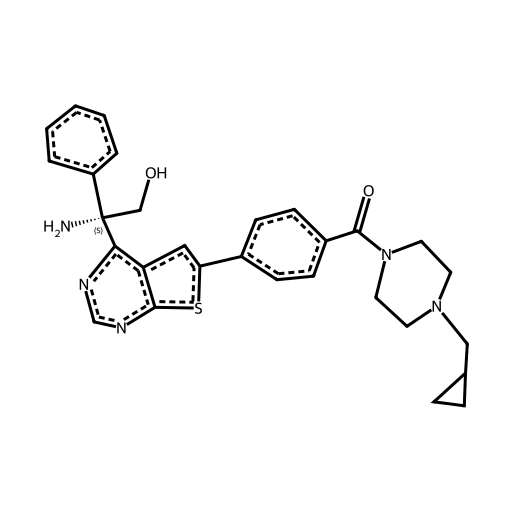 N[C@@](CO)(c1ccccc1)c1ncnc2sc(-c3ccc(C(=O)N4CCN(CC5CC5)CC4)cc3)cc12